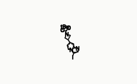 CC(C)(C)OC(=O)N1CC(c2ccn3c(I)cnc3c2)C1